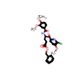 COc1ccc(C(=O)NC(CCC(=O)OCc2ccccc2)C(=O)c2ccc(OC)c(Br)n2)cc1OC